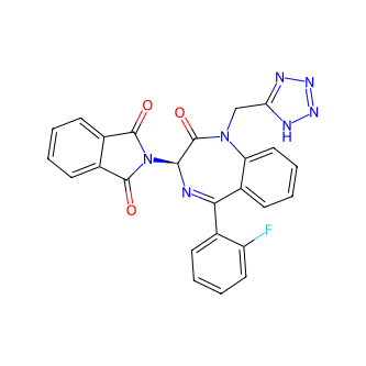 O=C1[C@H](N2C(=O)c3ccccc3C2=O)N=C(c2ccccc2F)c2ccccc2N1Cc1nnn[nH]1